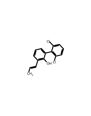 CC=Cc1cccc(-c2c(Cl)cccc2Cl)c1O